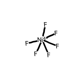 [F][Ni-4]([F])([F])([F])([F])[F]